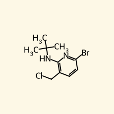 CC(C)(C)Nc1nc(Br)ccc1CCl